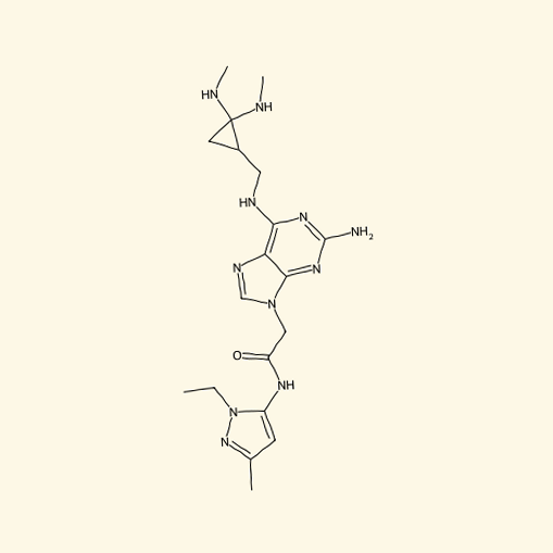 CCn1nc(C)cc1NC(=O)Cn1cnc2c(NCC3CC3(NC)NC)nc(N)nc21